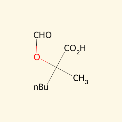 CCCCC(C)(OC=O)C(=O)O